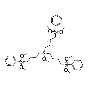 CO[Si](CCCC[Si](OC)(OC)c1ccccc1)(CCCC[Si](OC)(OC)c1ccccc1)CCCC[Si](OC)(OC)c1ccccc1